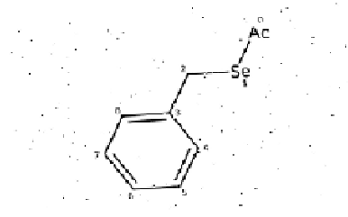 CC(=O)[Se]Cc1[c]cccc1